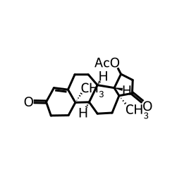 CC(=O)OC1CC(=O)[C@@]2(C)CC[C@@H]3[C@@H](CCC4=CC(=O)CC[C@@]43C)[C@H]12